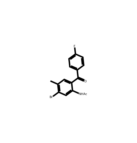 CC(=O)Nc1cc(Br)c(C)cc1C(=O)c1ccc(F)cc1